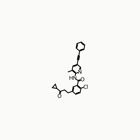 Cc1cc(C#Cc2ccccc2)cnc1NC(=O)c1cc(CCC(=O)C2CC2)ccc1Cl